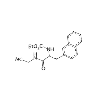 CCOC(=O)NC(Cc1ccc2ccccc2c1)C(=O)NCC#N